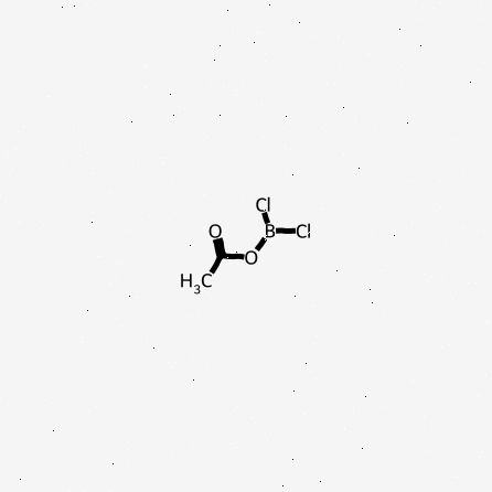 CC(=O)OB(Cl)Cl